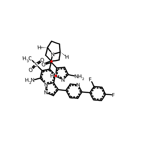 CS(=O)(=O)c1c(C2C[C@H]3CC[C@@H](C2)N3C(=O)c2cc(N)n[nH]2)nc2c(-c3ccc(-c4ccc(F)cc4F)nc3)cnn2c1N